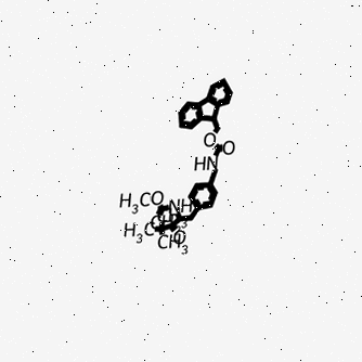 C=C(NC(Cc1ccc(CNC(=O)OCC2c3ccccc3-c3ccccc32)cc1)C(=O)C(C)(C)C)OC